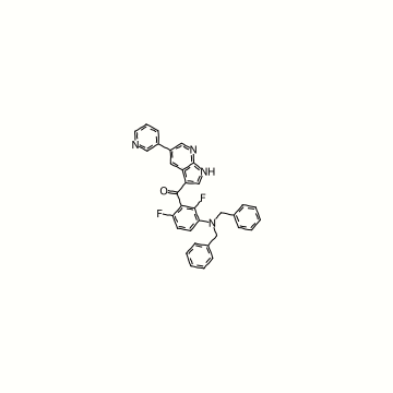 O=C(c1c(F)ccc(N(Cc2ccccc2)Cc2ccccc2)c1F)c1c[nH]c2ncc(-c3cccnc3)cc12